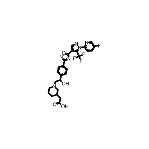 O=C(O)CC1CCCN(CC(O)c2ccc(-c3noc(-c4cnn(-c5ccc(F)cn5)c4C(F)(F)F)n3)cc2)C1